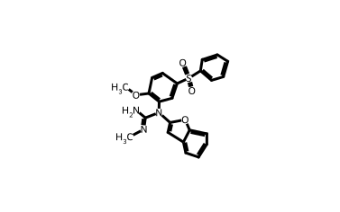 CN=C(N)N(c1cc2ccccc2o1)c1cc(S(=O)(=O)c2ccccc2)ccc1OC